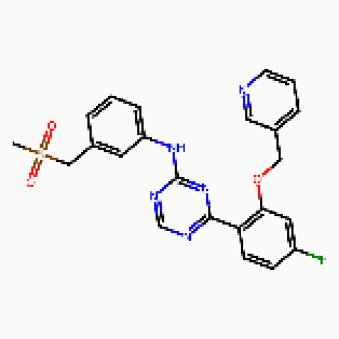 CS(=O)(=O)Cc1cccc(Nc2ncnc(-c3ccc(F)cc3OCc3cccnc3)n2)c1